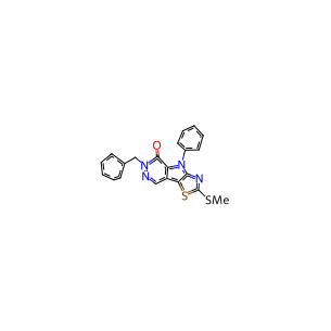 CSc1nc2c(s1)c1cnn(Cc3ccccc3)c(=O)c1n2-c1ccccc1